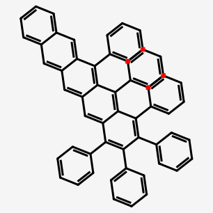 c1ccc(-c2c(-c3ccccc3)c(-c3ccccc3)c3c(-c4ccccc4)c4c(-c5ccccc5)c5cc6ccccc6cc5cc4cc3c2-c2ccccc2)cc1